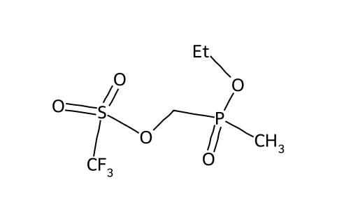 CCOP(C)(=O)COS(=O)(=O)C(F)(F)F